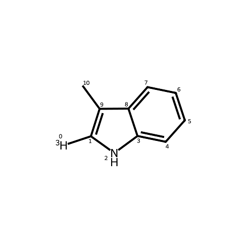 [3H]c1[nH]c2ccccc2c1C